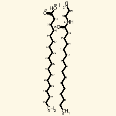 CCCCCCCCCCCCCCCC(=O)NCCN.CCCCCCCCCCCCCCCCCC(=O)O